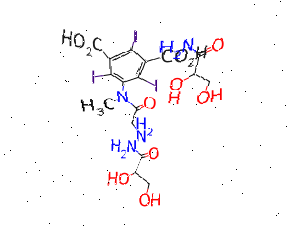 CN(C(=O)CN)c1c(I)c(C(=O)O)c(I)c(C(=O)O)c1I.NC(=O)C(O)CO.NC(=O)C(O)CO